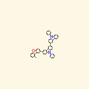 Cc1cccc2oc3ccc(-c4ccc5c(c4)c4cc(-c6ccc7c(c6)c6ccccc6n7-c6ccccc6)ccc4n5-c4ccccc4)cc3c12